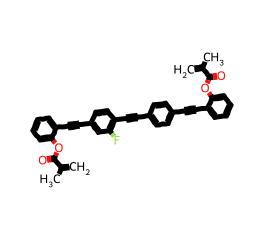 C=C(C)C(=O)Oc1ccccc1C#Cc1ccc(C#Cc2ccc(C#Cc3ccccc3OC(=O)C(=C)C)cc2F)cc1